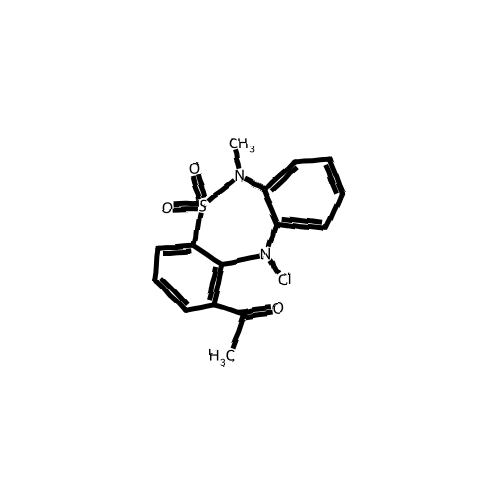 CC(=O)c1cccc2c1N(Cl)c1ccccc1N(C)S2(=O)=O